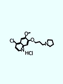 COc1cc2c(Cl)ccnc2cc1OCCCN1CCCC1.Cl